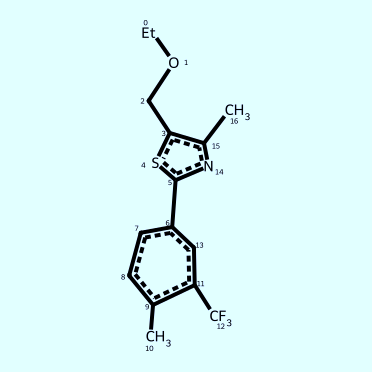 CCOCc1sc(-c2ccc(C)c(C(F)(F)F)c2)nc1C